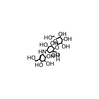 OCC1=C[C@H](N[C@H]2C[C@](O)(CO)[C@@H](O[C@@H]3O[C@H](CO)[C@@H](O)[C@H](O)[C@H]3O)[C@H](O)[C@H]2O)[C@H](O)[C@@H](O)[C@@H]1O